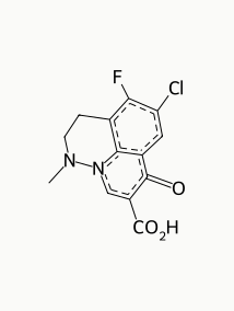 CN1CCc2c(F)c(Cl)cc3c(=O)c(C(=O)O)cn1c23